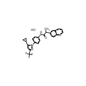 CC(C(=O)Nc1ccc(-n2nc(C(F)(F)F)cc2C2CC2)cc1)c1ccc2ncccc2c1.Cl